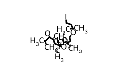 CC(C)C(=O)C(C)CC(C)(C)OC(C)(C)CCOC(C)(C)CCI